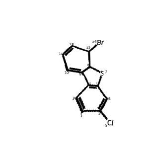 Clc1ccc2c(c1)SC1C2=CC=CC1Br